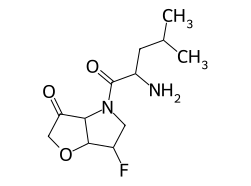 CC(C)CC(N)C(=O)N1CC(F)C2OCC(=O)C21